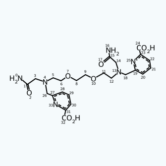 NC(=O)CN(CCOCCOCCN(CC(N)=O)Cc1cccc(C(=O)O)n1)Cc1cccc(C(=O)O)n1